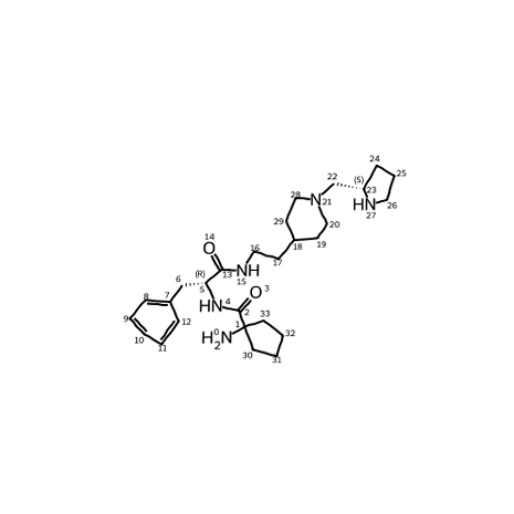 NC1(C(=O)N[C@H](Cc2ccccc2)C(=O)NCCC2CCN(C[C@@H]3CCCN3)CC2)CCCC1